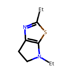 CCc1nc2c(s1)N(CC)CC2